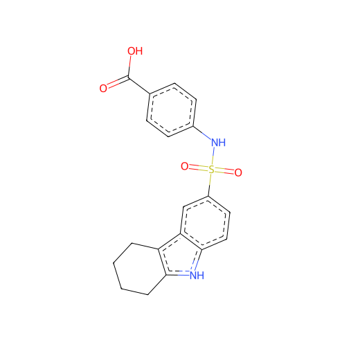 O=C(O)c1ccc(NS(=O)(=O)c2ccc3[nH]c4c(c3c2)CCCC4)cc1